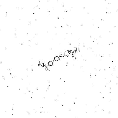 CC(C)(F)CN1CCC(COc2ccc(-c3ccc(C(=O)N4CC(F)(F)C4)cc3)cc2)CC1